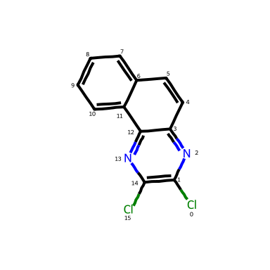 Clc1nc2ccc3ccccc3c2nc1Cl